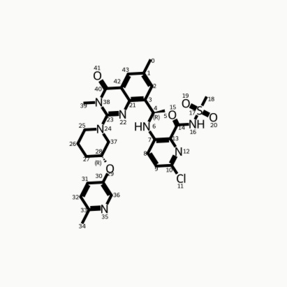 Cc1cc([C@@H](C)Nc2ccc(Cl)nc2C(=O)NS(C)(=O)=O)c2nc(N3CCC[C@@H](Oc4ccc(C)nc4)C3)n(C)c(=O)c2c1